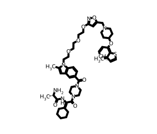 C=c1ccs/c1=C(/C=C\C)OC1CCN(Cc2cc(OCCOCCOCCn3c(C)cc4cc(C(=O)N5CCN(C(=O)C(NC(=O)[C@H](C)N)=C6CCCCC6)CC5)ccc43)no2)CC1